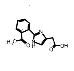 CC(=O)c1ccccc1-c1nc(CC(=O)O)c[nH]1